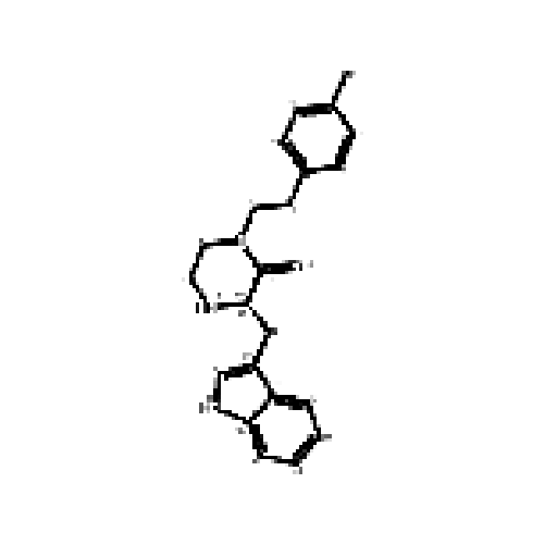 Cc1ccc(CCN2CCN[C@H](Cc3c[nH]c4ccccc34)C2=O)cc1